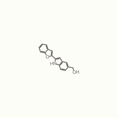 OCc1ccc2[nH]c(-c3cc4ccccc4o3)cc2c1